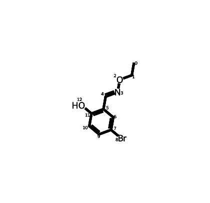 CCON=Cc1cc(Br)ccc1O